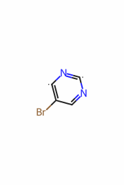 Brc1[c]n[c]nc1